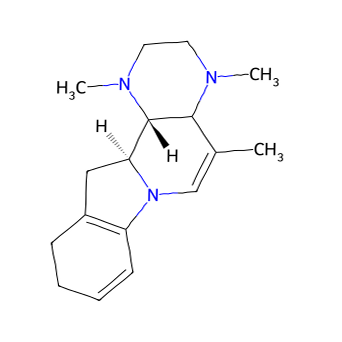 CC1=CN2C3=C(CCC=C3)C[C@H]2[C@H]2C1N(C)CCN2C